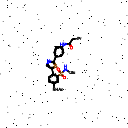 CC(=O)Nc1ccc(-c2cnc(-c3ccc(NC(=O)CC(C)C)cc3)s2)c(S(=O)(=O)NC(C)(C)C)c1